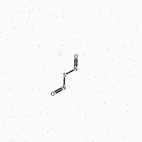 O=NSN=O